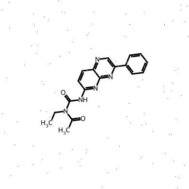 CCN(C(C)=O)C(=O)Nc1ccc2ncc(-c3ccccc3)nc2n1